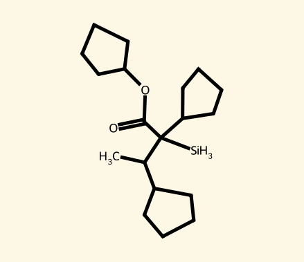 CC(C1CCCC1)C([SiH3])(C(=O)OC1CCCC1)C1CCCC1